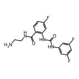 NCCNC(=O)c1ccc(F)cc1NC(=O)Nc1cc(F)cc(F)c1